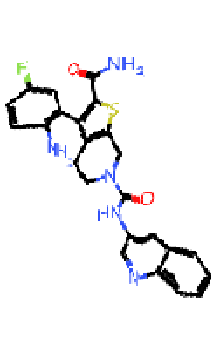 NC(=O)c1sc2c(c1-c1cc(F)ccc1N)CCN(C(=O)Nc1cnc3ccccc3c1)C2